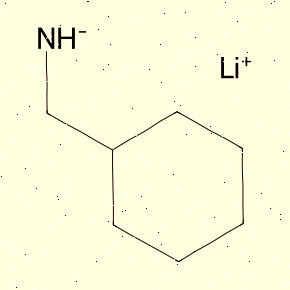 [Li+].[NH-]CC1CCCCC1